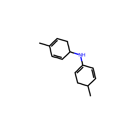 CC1=CCC(NC2=CCC(C)C=C2)C=C1